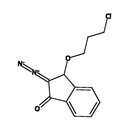 [N-]=[N+]=C1C(=O)c2ccccc2C1OCCCCl